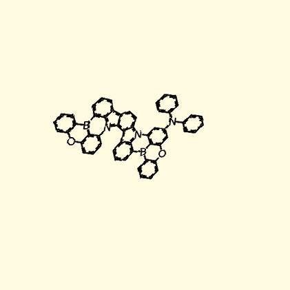 c1ccc(N(c2ccccc2)c2cc3c4c(c2)-n2c5ccc6c7cccc8c7n(c6c5c5cccc(c52)B4c2ccccc2O3)-c2cccc3c2B8c2ccccc2O3)cc1